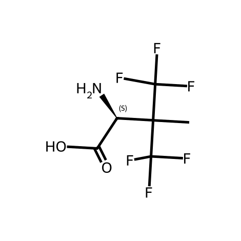 CC([C@H](N)C(=O)O)(C(F)(F)F)C(F)(F)F